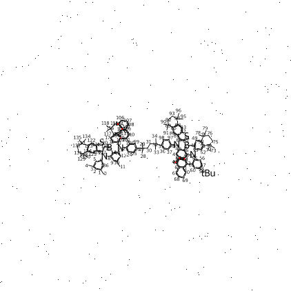 Cc1cc(C)cc(N2c3cc(C)cc4c3B(c3cc5c(cc3N4c3ccc(C(C)(C)CCC(C)(C)c4ccc(N6c7cc(C)cc8c7B(c7cc9c(cc7N8c7ccc(C(C)(C)C)cc7-c7cccc8ccccc78)C(C)(C)CCC9(C)C)c7sc8cc9c(cc8c76)C(C)(C)CCC9(C)C)cc4)cc3-c3ccc4ccccc4c3)C(C)(C)CCC5(C)C)c3sc4cc5c(cc4c32)C(C)(C)CCC5(C)C)c1